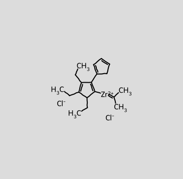 CCC1=C(CC)C(CC)[C]([Zr+2]=[C](C)C)=C1C1=CC=CC1.[Cl-].[Cl-]